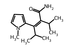 CC(C)C(C(N)=O)=C(c1cccn1C)C(C)C